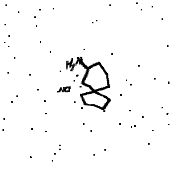 Cl.NC1CCCC2(CCCC2)C1